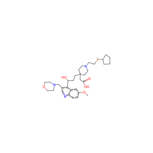 COc1ccc2ncc(CN3CCOCC3)c(C(O)CCC3(CC(=O)O)CCN(CCSC4CCCC4)CC3)c2c1